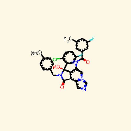 COc1ccc(CN2C(=O)c3c(c(NC(=O)c4cc(F)cc(C(F)(F)F)c4)cn4cncc34)C2(O)c2cc(F)ccc2Cl)cc1